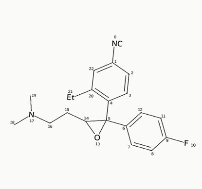 [C-]#[N+]c1ccc(C2(c3ccc(F)cc3)OC2CCN(C)C)c(CC)c1